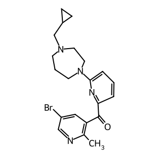 Cc1ncc(Br)cc1C(=O)c1cccc(N2CCCN(CC3CC3)CC2)n1